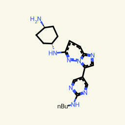 CCCCNc1ncc(-c2cnc3ccc(N[C@H]4CC[C@H](N)CC4)nn23)cn1